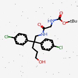 CC(C)(C)OC(=O)NCC(=O)NCC(CCCO)(c1ccc(Cl)cc1)c1ccc(Cl)cc1